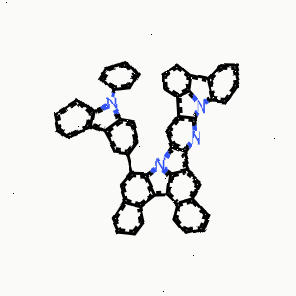 c1ccc(-n2c3ccccc3c3cc(-c4cc5ccccc5c5c6c7ccccc7cc7c8nc9c(cc8n(c45)c76)c4cccc5c6ccccc6n9c54)ccc32)cc1